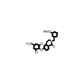 COc1cccc(CN2CCc3cc(Oc4c(Cl)cc(N)cc4Cl)ccc3C2=O)c1